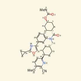 CNC(=O)O[C@H]1CC[C@H](C(=O)N(C[C@H]2CC[C@H](c3ccc(OC)c(C#N)n3)CC2)c2cccc(-c3coc(C4CC4)n3)c2)CC1